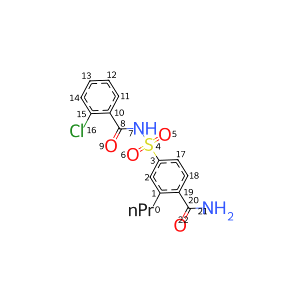 CCCc1cc(S(=O)(=O)NC(=O)c2ccccc2Cl)ccc1C(N)=O